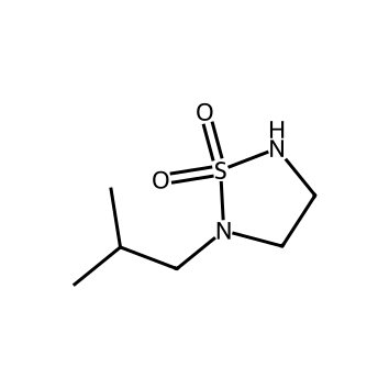 CC(C)CN1CCNS1(=O)=O